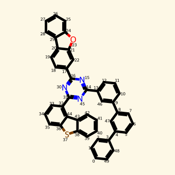 c1ccc(-c2cccc(-c3cccc(-c4nc(-c5ccc6c(c5)oc5ccccc56)nc(-c5cccc6sc7ccccc7c56)n4)c3)c2)cc1